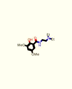 CCN(CC)CCNC(=O)c1cc(OC)cc(OC)c1O